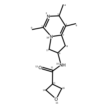 CC1=NC(C)C(C)=C2CC(NC(=O)C3COC3)CN12